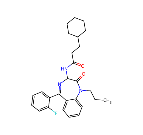 CCCN1C(=O)C(NC(=O)CCC2CCCCC2)N=C(c2ccccc2F)c2ccccc21